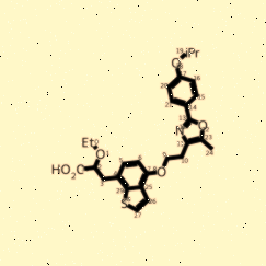 CCOC(Cc1ccc(OCCc2nc(-c3ccc(OC(C)C)cc3)oc2C)c2ccsc12)C(=O)O